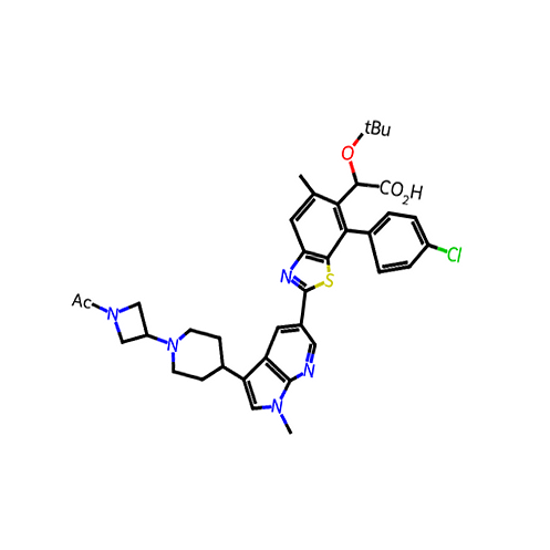 CC(=O)N1CC(N2CCC(c3cn(C)c4ncc(-c5nc6cc(C)c(C(OC(C)(C)C)C(=O)O)c(-c7ccc(Cl)cc7)c6s5)cc34)CC2)C1